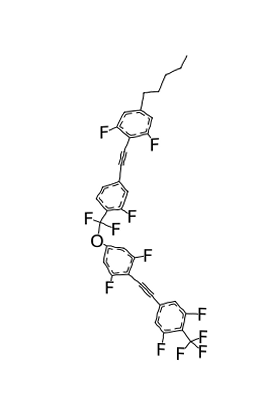 CCCCCc1cc(F)c(C#Cc2ccc(C(F)(F)Oc3cc(F)c(C#Cc4cc(F)c(C(F)(F)F)c(F)c4)c(F)c3)c(F)c2)c(F)c1